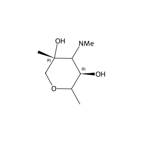 CNC1[C@@H](O)C(C)OC[C@]1(C)O